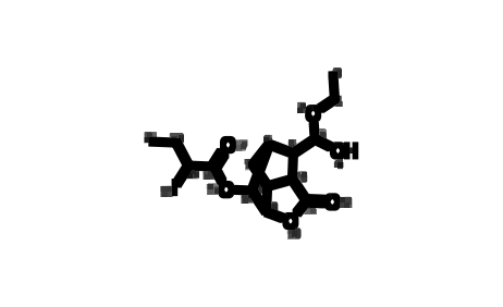 CCOC(O)C1C2CC3C(OC(=O)C31)C2OC(=O)C(I)CC